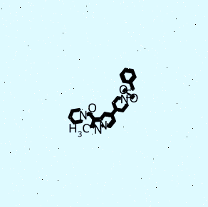 Cc1nn2ccc(C3CCN(S(=O)(=O)Cc4ccccc4)CC3)cc2c1C(=O)N1CCCCC1